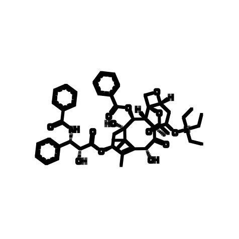 CC[Si](CC)(CC)OC1C[C@H]2OC[C@@]2(OC(C)=O)[C@H]2[C@H](OC(=O)c3ccccc3)[C@]3(O)C[C@H](OC(=O)[C@H](O)[C@@H](NC(=O)c4ccccc4)c4ccccc4)C(C)=C([C@@H](O)C(=O)[C@]12C)C3(C)C